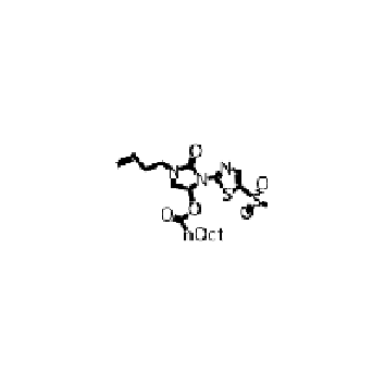 C=CCCN1CC(OC(=O)CCCCCCCC)N(c2ncc(S(C)(=O)=O)s2)C1=O